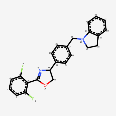 Fc1cccc(F)c1C1=NC(c2ccc(CN3CCc4ccccc43)cc2)CO1